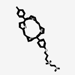 Cc1ccc(-c2c3nc(cc4ccc([nH]4)c(-c4ccc(OCCC[N+](C)(C)CCN(C)C)cc4)c4nc(cc5ccc2[nH]5)C=C4)C=C3)cc1